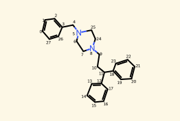 c1ccc(CN2CCN(CCC(c3ccccc3)c3ccccc3)CC2)cc1